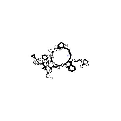 C=C[C@@H]1C[C@]1(NC(=O)[C@@H]1C[C@@H]2CN1C(=O)[C@H](C1CCCC1)NC(=O)O[C@@H]1CCC[C@H]1CC/C=C/Cc1c(nc3ccccc3c1OCCN1CCOC1=O)O2)C(=O)NS(=O)(=O)C1CC1